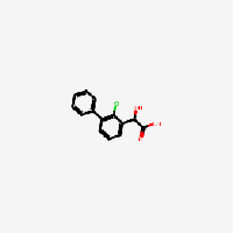 O=C(O)C(O)c1cccc(-c2ccccc2)c1Cl